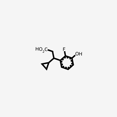 O=C(O)CC(c1cccc(O)c1F)C1CC1